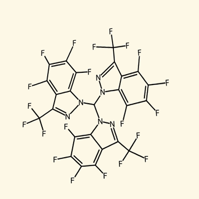 Fc1c(F)c(F)c2c(c(C(F)(F)F)nn2C(n2nc(C(F)(F)F)c3c(F)c(F)c(F)c(F)c32)n2nc(C(F)(F)F)c3c(F)c(F)c(F)c(F)c32)c1F